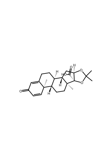 CC1(C)O[C@@H]2C[C@H]3[C@@H]4CCC5=CC(=O)C=C[C@]5(C)[C@H]4CC[C@]3(C)[C@]2(C(=O)O)O1